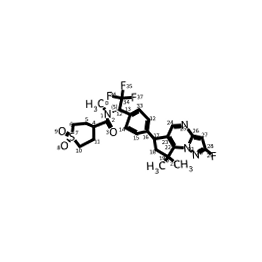 CN(C(=O)C1CCS(=O)(=O)CC1)[C@@H](c1ccc(C2CC(C)(C)c3c2cnc2cc(F)nn32)cc1)C(F)(F)F